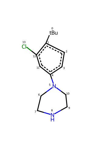 CC(C)(C)c1ccc(N2CCNCC2)cc1Cl